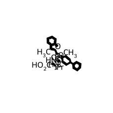 CC1=CC(c2ccccc2)C=C(C)C1(OC(=O)c1oc2ccccc2c1C)S(=O)(=O)NC(C(=O)O)C(C)C